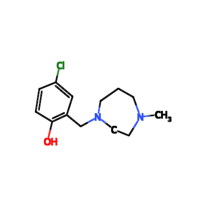 CN1CCCN(Cc2cc(Cl)ccc2O)CC1